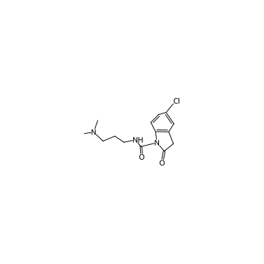 CN(C)CCCNC(=O)N1C(=O)Cc2cc(Cl)ccc21